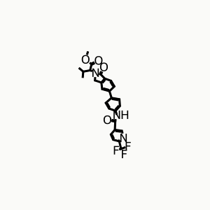 COC(=O)C(C(C)C)N1Cc2cc(-c3ccc(NC(=O)c4ccc(C(F)(F)F)nc4)cc3)ccc2C1=O